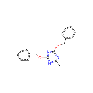 Cc1nc(OCc2ccccc2)nc(OCc2ccccc2)n1